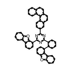 c1ccc(-c2cccc3oc4ccccc4c23)c(-c2nc(-c3ccc4c(ccc5ccc6ccccc6c54)c3)nc(-c3cccc4c3oc3ccccc34)n2)c1